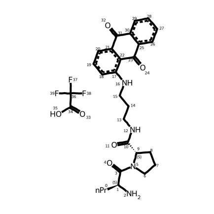 CCC[C@H](N)C(=O)N1CCC[C@H]1C(=O)NCCCNc1cccc2c1C(=O)c1ccccc1C2=O.O=C(O)C(F)(F)F